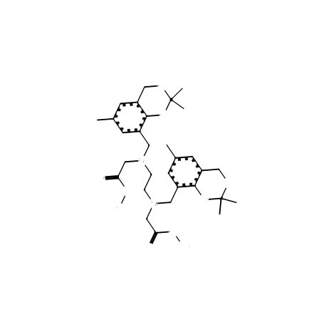 Cc1cc2c(c(CN(CCN(CC(=O)OC(C)(C)C)Cc3cc(C)cc4c3OC(C)(C)OC4)CC(=O)OC(C)(C)C)c1)OC(C)(C)OC2